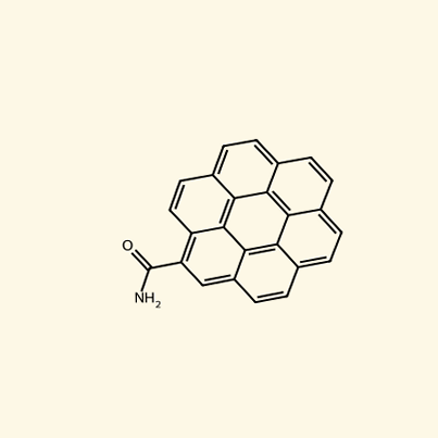 NC(=O)c1cc2ccc3ccc4ccc5ccc6ccc1c1c6c5c4c3c21